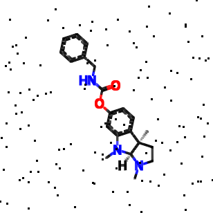 CN1CC[C@]2(C)c3ccc(OC(=O)NCc4ccccc4)cc3N(C)[C@H]12